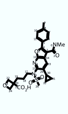 CNC(=O)c1c(-c2ccc(C)cc2)oc2nc(N(CCCC3(C(=O)O)COC3)S(C)(=O)=O)c(C3CC3)cc12